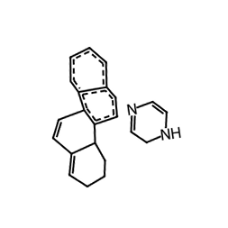 C1=CNCC=N1.C1=Cc2c(ccc3ccccc23)C2CCCC=C12